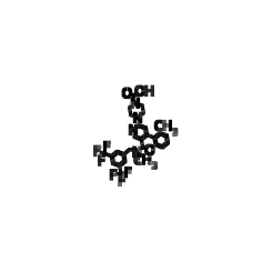 Cc1ccccc1-c1cc(N2CCN(C(=O)O)CC2)ncc1C(=O)N(C)Cc1cc(C(F)(F)F)cc(C(F)(F)F)c1